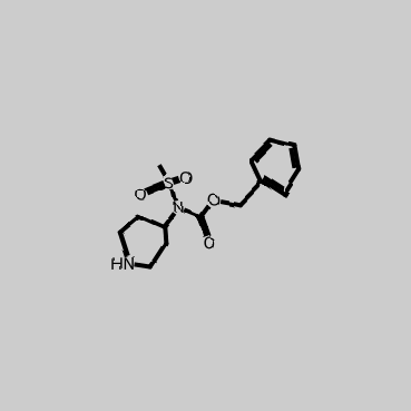 CS(=O)(=O)N(C(=O)OCc1ccccc1)C1CCNCC1